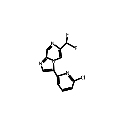 FC(F)c1cn2c(-c3cccc(Cl)n3)cnc2cn1